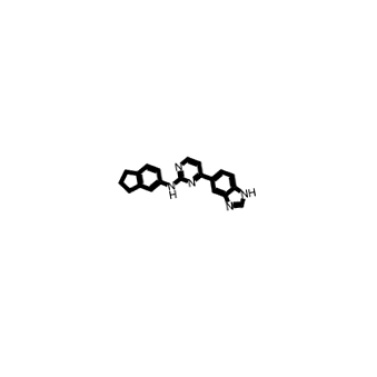 c1cc(-c2ccc3[nH]cnc3c2)nc(Nc2ccc3c(c2)CCC3)n1